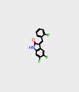 O=C1Nc2cc(F)c(F)cc2C1=Cc1ccccc1F